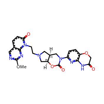 COc1ncc2ccc(=O)n(CCN3C[C@H]4CN(c5ccc6c(n5)NC(=O)CO6)C(=O)O[C@H]4C3)c2n1